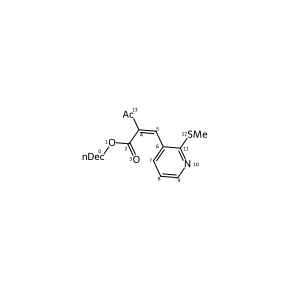 CCCCCCCCCCOC(=O)/C(=C\c1cccnc1SC)C(C)=O